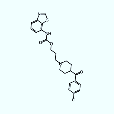 O=C(Nc1cccc2ncsc12)OCCCN1CCC(C(=O)c2ccc(Cl)cc2)CC1